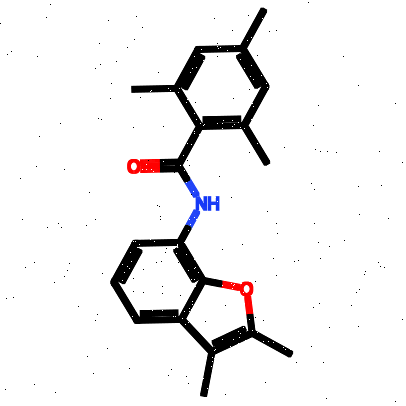 Cc1cc(C)c(C(=O)Nc2cccc3c(C)c(C)oc23)c(C)c1